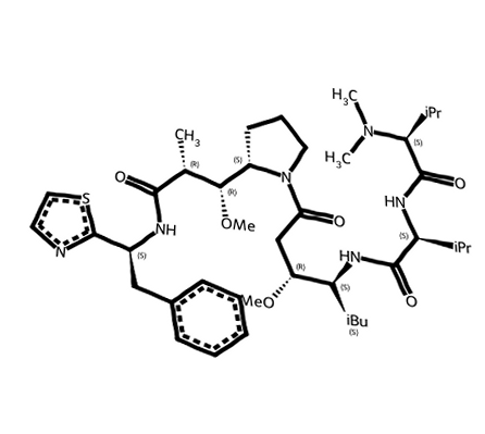 CC[C@H](C)[C@H](NC(=O)[C@@H](NC(=O)[C@H](C(C)C)N(C)C)C(C)C)[C@@H](CC(=O)N1CCC[C@H]1[C@H](OC)[C@@H](C)C(=O)N[C@@H](Cc1ccccc1)c1nccs1)OC